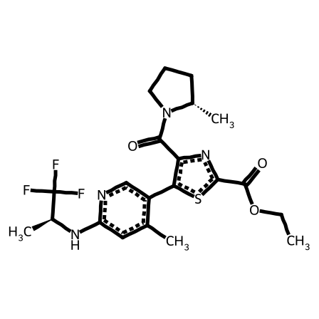 CCOC(=O)c1nc(C(=O)N2CCC[C@@H]2C)c(-c2cnc(N[C@@H](C)C(F)(F)F)cc2C)s1